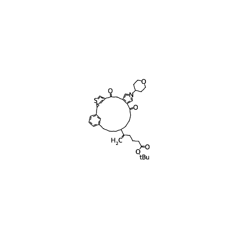 C=C(CCCC(=O)OC(C)(C)C)C1CCCC(=O)c2cn(C3CCOCC3)cc2CC(=O)c2csc(c2)-c2cccc(c2)CCC1